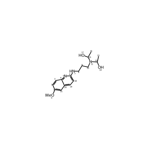 COc1ccc2nc(NCCCN(C(C)O)C(C)O)ccc2c1